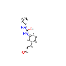 C=CCNC(=O)Nc1cccc(C=CC[O])c1